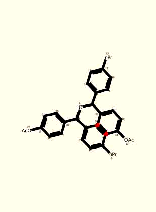 CCCc1ccc(C(OC(c2ccc(CCC)cc2)c2ccc(OC(C)=O)cc2)c2ccc(OC(C)=O)cc2)cc1